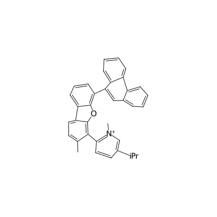 Cc1ccc2c(oc3c(-c4cc5ccccc5c5ccccc45)cccc32)c1-c1ccc(C(C)C)c[n+]1C